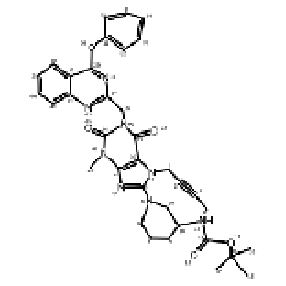 CC#CCn1c(N2CCCC(NC(=O)OC(C)(C)C)C2)nc2c1c(=O)n(Cc1nc(Oc3ccccc3)c3ccccc3n1)c(=O)n2C